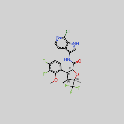 COc1c([C@H]2[C@H](C(=O)Nc3c[nH]c4c(Cl)nccc34)O[C@@](C)(C(F)(F)F)[C@H]2C)ccc(F)c1F